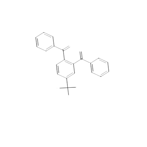 CC(C)(C)c1ccc(C(=O)c2ccccc2)c(C(=O)c2ccccc2)c1